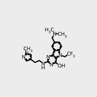 CN(C)Cc1ccc2c(c1)c1nc(NCCc3cnn(C)c3)nc(O)c1n2CC(F)(F)F